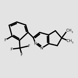 CC1(C)Cc2cc(-c3cccc(F)c3C(F)(F)F)nnc2C1